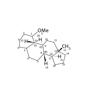 COC1CCCC2CC[C@@H]3[C@H](CC[C@]4(C)CCC[C@@H]34)[C@H]21